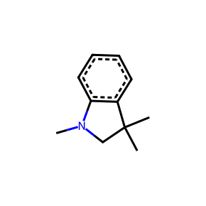 CN1CC(C)(C)c2ccccc21